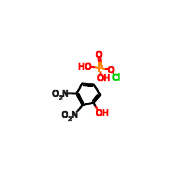 O=P(O)(O)OCl.O=[N+]([O-])c1cccc(O)c1[N+](=O)[O-]